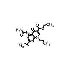 CCCn1cc(C(=O)OCC)c(=O)c2c(NC(C)=O)nc(SC)nc21